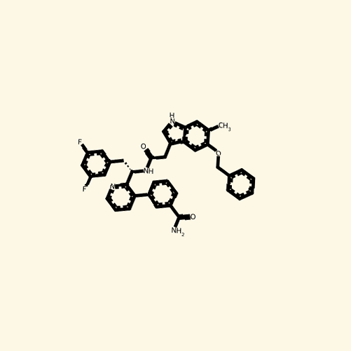 Cc1cc2[nH]cc(CC(=O)N[C@@H](Cc3cc(F)cc(F)c3)c3ncccc3-c3cccc(C(N)=O)c3)c2cc1OCc1ccccc1